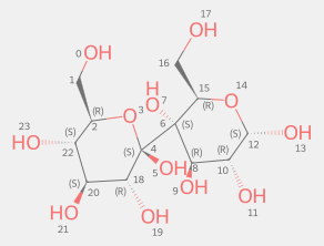 OC[C@H]1O[C@](O)([C@]2(O)[C@H](O)[C@@H](O)[C@@H](O)O[C@@H]2CO)[C@H](O)[C@@H](O)[C@@H]1O